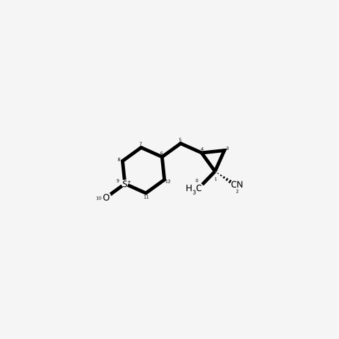 C[C@]1(C#N)CC1CC1CC[S+]([O-])CC1